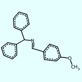 COc1ccc(C=NC(c2ccccc2)c2ccccc2)cc1